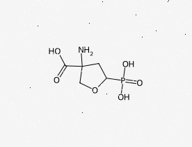 NC1(C(=O)O)COC(P(=O)(O)O)C1